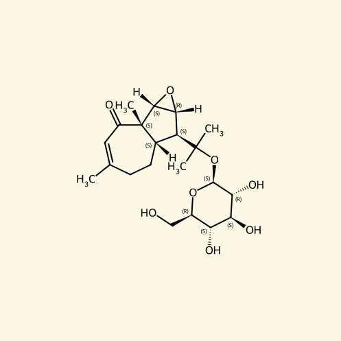 CC1=CC(=O)[C@]2(C)[C@@H]3O[C@@H]3[C@@H](C(C)(C)O[C@@H]3O[C@H](CO)[C@@H](O)[C@H](O)[C@H]3O)[C@@H]2CC1